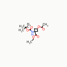 CCOC(=O)C1(NC(=O)OC(C)(C)C)CC(OC(C)=O)C1